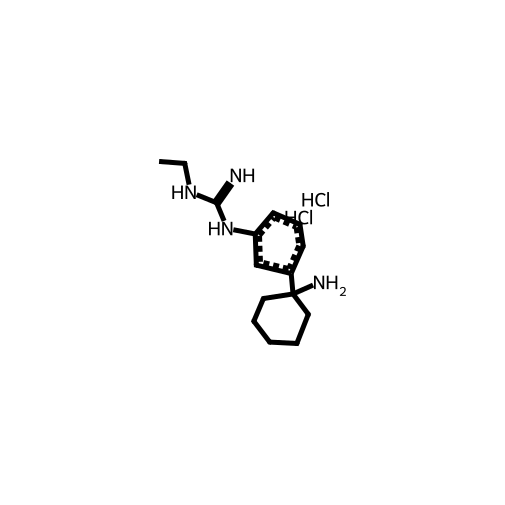 CCNC(=N)Nc1cccc(C2(N)CCCCC2)c1.Cl.Cl